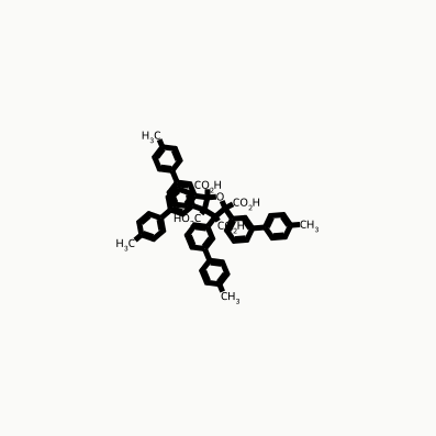 Cc1ccc(-c2cccc(C3(C(=O)O)OC(C(=O)O)(c4cccc(-c5ccc(C)cc5)c4)C(C(=O)O)(c4cccc(-c5ccc(C)cc5)c4)C3(C(=O)O)c3cccc(-c4ccc(C)cc4)c3)c2)cc1